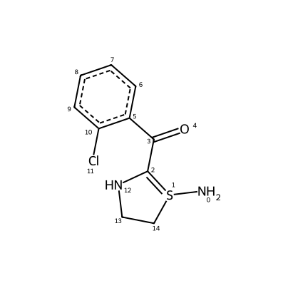 NS1=C(C(=O)c2ccccc2Cl)NCC1